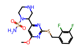 COc1cc(C2CNCCN2S(N)(=O)=O)nc(SCc2cccc(F)c2F)n1